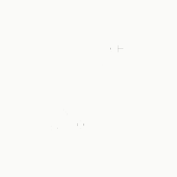 Cc1ccc2c(c1)C=CS2(=O)=O